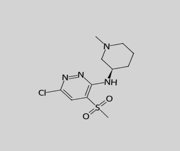 CN1CCC[C@@H](Nc2nnc(Cl)cc2S(C)(=O)=O)C1